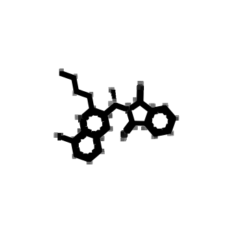 CCCCc1nc2c(F)cccc2cc1[C@H](C)N1C(=O)c2ccccc2C1=O